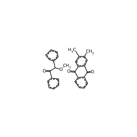 COC(C(=O)c1ccccc1)c1ccccc1.Cc1cc2c(cc1C)C(=O)c1ccccc1C2=O